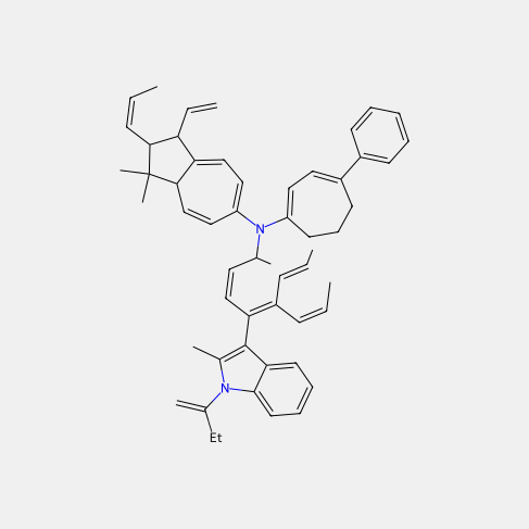 C=CC1C2=CC=C(N(C3=CC=C(c4ccccc4)CCC3)C(C)\C=C/C(=C(/C=C\C)\C=C\C)c3c(C)n(C(=C)CC)c4ccccc34)C=CC2C(C)(C)C1/C=C\C